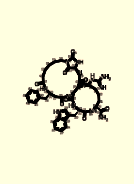 N=C(N)NCC[C@@]12NCCCC[C@@H](C(N)=O)NC(=O)[C@H](Cc3c[nH]c4ccccc34)NC(=O)C1NC(=O)C[C@@H](Cc1ccccc1)NC(=O)CCCCCN1C(=O)N[C@@H](CC2=O)C1=O